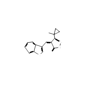 CC1(C2=NNC(=O)C2=Cc2c[nH]c3ccccc23)CC1